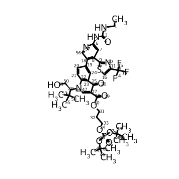 CCNC(=O)Nc1cc(-c2nc(C(F)(F)F)cs2)c(-c2ccc3c(c2)c(=O)c(C(=O)OCCCOP(=O)(OC(C)(C)C)OC(C)(C)C)cn3[C@H](CO)C(C)(C)C)cn1